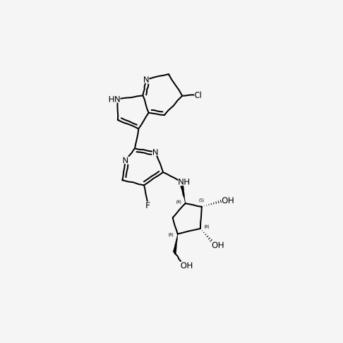 OC[C@H]1C[C@@H](Nc2nc(-c3c[nH]c4c3=CC(Cl)CN=4)ncc2F)[C@H](O)[C@@H]1O